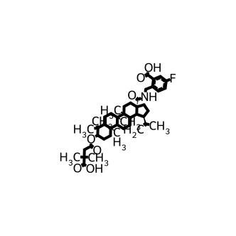 C=C(C)[C@@H]1CC[C@]2(C(=O)NCc3ccc(F)cc3C(=O)O)CC[C@]3(C)C(CCC4[C@@]5(C)CCC(OC(=O)CC(C)(C)C(=O)O)C(C)(C)C5CC[C@]43C)C12